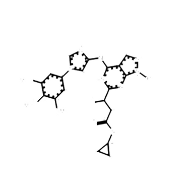 COc1cc(-n2cnc(Nc3nc(C(C)CC(=O)NC4CC4)nc4c3cnn4C(C)C)c2)cc(OC)c1OC